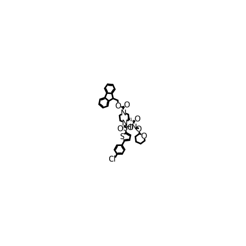 O=C(NOC1CCCCO1)[C@H]1CN(C(=O)OCC2c3ccccc3-c3ccccc32)CCN1S(=O)(=O)c1ccc(-c2ccc(Cl)cc2)s1